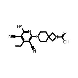 CCc1c(C#N)c(S)nc(N2CCC3(CC2)CN(C(=O)O)C3)c1C#N